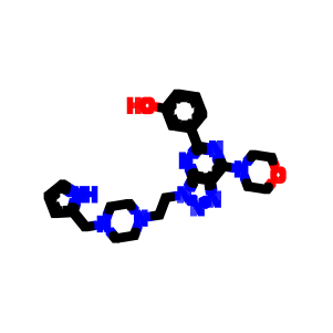 Oc1cccc(-c2nc(N3CCOCC3)c3nnn(CCN4CCN(Cc5ccc[nH]5)CC4)c3n2)c1